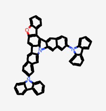 c1ccc2c(c1)oc1cc3c4cc5ccc(-n6c7ccccc7c7ccccc76)cc5cc4n4c5cc6cc(-n7c8ccccc8c8ccccc87)ccc6cc5c(c12)c34